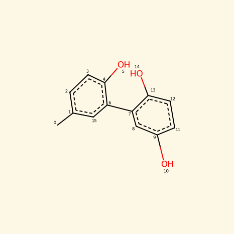 Cc1ccc(O)c(-c2cc(O)ccc2O)c1